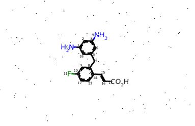 Nc1cc(N)cc(Cc2cc(F)ccc2C=CC(=O)O)c1